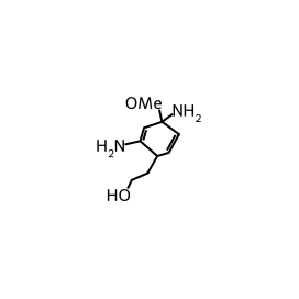 COC1(N)C=CC(CCO)C(N)=C1